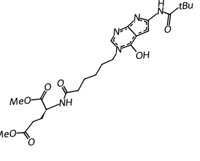 COC(=O)CC[C@H](NC(=O)CCCCCn1cnc2nc(NC(=O)C(C)(C)C)cc-2c1O)C(=O)OC